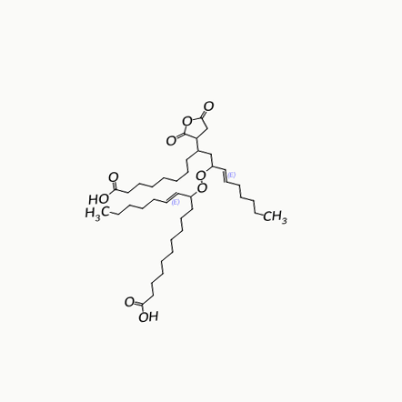 CCCCC/C=C/C(CCCCCCCCCC(=O)O)OOC(/C=C/CCCCC)CC(CCCCCCCC(=O)O)C1CC(=O)OC1=O